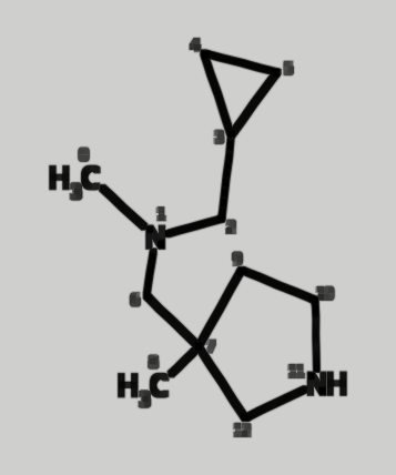 CN(CC1CC1)CC1(C)CCNC1